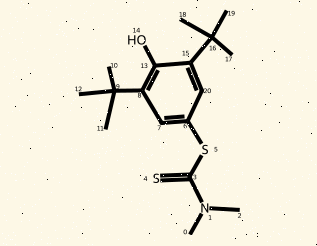 CN(C)C(=S)Sc1cc(C(C)(C)C)c(O)c(C(C)(C)C)c1